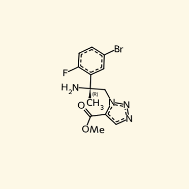 COC(=O)c1cnnn1C[C@](C)(N)c1cc(Br)ccc1F